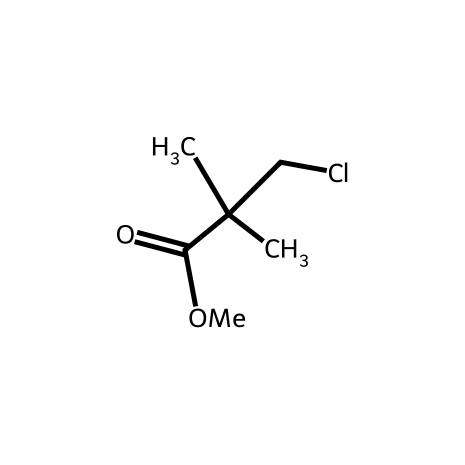 [CH2]OC(=O)C(C)(C)CCl